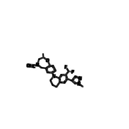 CC1CN(C=O)Cc2cc(N3CCCc4cc(-c5cnn(C)c5)c(C(F)F)cc43)ccc2O1